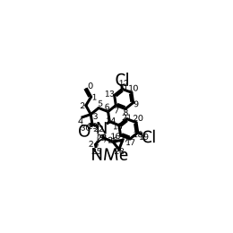 C=CCC1(C)CC(c2cccc(Cl)c2)C(c2ccc(Cl)cc2)N([C@H](CNC)C2CC2)C1=O